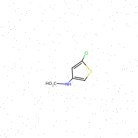 O=C(O)Nc1csc(Cl)c1